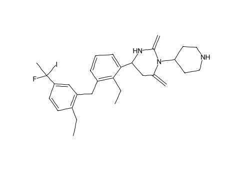 C=C1CC(c2cccc(Cc3cc(C(C)(F)I)ccc3CC)c2CC)NC(=C)N1C1CCNCC1